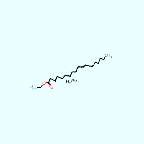 CCCCCCCCCCCCCCCCCC(=O)OCC.[PoH2]